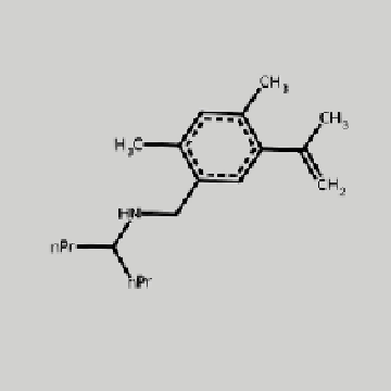 C=C(C)c1cc(CNC(CCC)CCC)c(C)cc1C